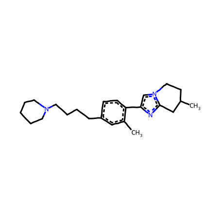 Cc1cc(CCCCN2CCCCC2)ccc1-c1cn2c(n1)CC(C)CC2